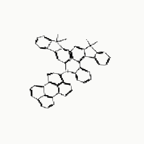 CC1(C)c2ccccc2-c2cc(N(c3ccc(-c4cccc5cccc(-c6ccccc6)c45)cc3)c3ccccc3-c3cccc4c3-c3ccccc3C4(C)C)ccc21